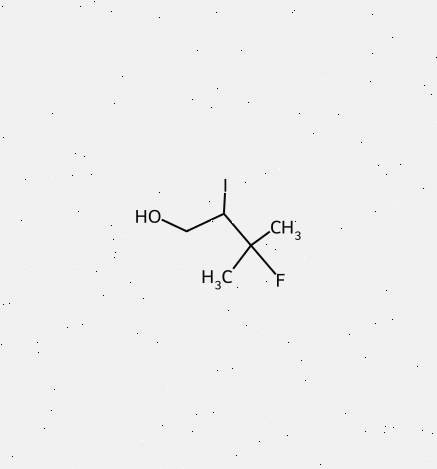 CC(C)(F)C(I)CO